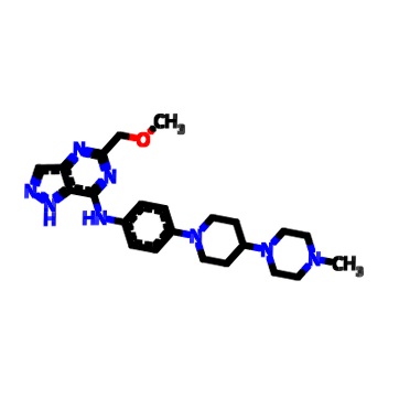 COCc1nc(Nc2ccc(N3CCC(N4CCN(C)CC4)CC3)cc2)c2[nH]ncc2n1